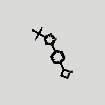 FC(F)(F)c1nc(-c2ccc(C3CCN3)cc2)no1